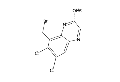 COc1cnc2cc(Cl)c(Cl)c(CBr)c2n1